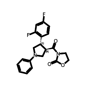 O=C1OCCN1C(=O)[C@H]1CN(c2ccccc2)C[C@@H]1c1ccc(F)cc1F